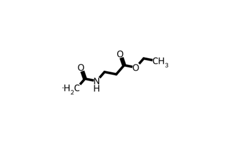 [CH2]C(=O)NCCC(=O)OCC